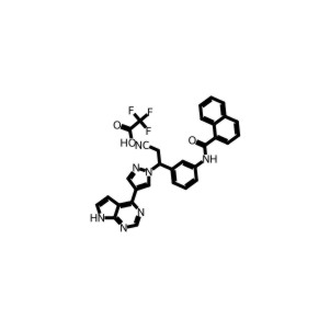 N#CCC(c1cccc(NC(=O)c2cccc3ccccc23)c1)n1cc(-c2ncnc3[nH]ccc23)cn1.O=C(O)C(F)(F)F